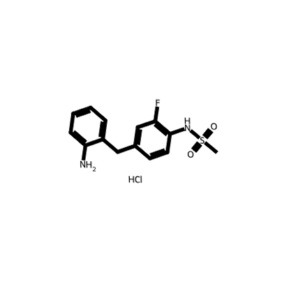 CS(=O)(=O)Nc1ccc(Cc2ccccc2N)cc1F.Cl